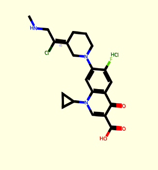 CNC/C(Cl)=C1\CCCN(c2cc3c(cc2F)c(=O)c(C(=O)O)cn3C2CC2)C1.Cl